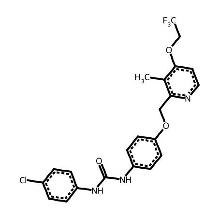 Cc1c(OCC(F)(F)F)ccnc1COc1ccc(NC(=O)Nc2ccc(Cl)cc2)cc1